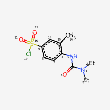 CCN(CC)C(=O)Nc1ccc(S(=O)(=O)Cl)cc1C